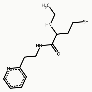 CCNC(CCS)C(=O)NCCc1ccccn1